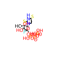 C#CC1(O)[C@@H](O)[C@@](F)(COP(=O)(O)OP(=O)(O)OP(=O)(O)O)O[C@H]1n1ccc(=S)[nH]c1=S